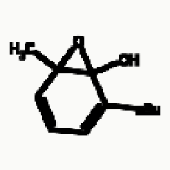 CCCCC1=CC=CC2(C)OC12O